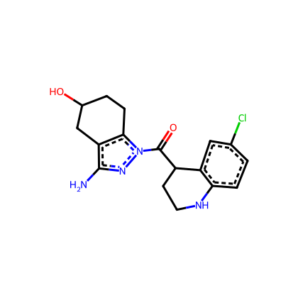 Nc1nn(C(=O)C2CCNc3ccc(Cl)cc32)c2c1CC(O)CC2